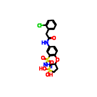 NS(=O)(=O)c1cc(NC(=O)Cc2ccccc2Cl)ccc1OC1CCS(O)(O)C1